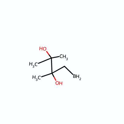 BCC(C)(O)C(C)(C)O